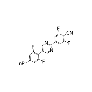 CCCc1cc(F)c(-c2cnc(-c3cc(F)c(C#N)c(F)c3)nc2)c(F)c1